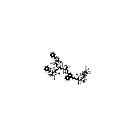 N=C(NCCCCc1ccc(CCC(NCCCN(CC(O)C(O)[C@@H]2OC(c3ccccc3)OC[C@H]2O)CC(O)C(O)[C@@H]2OC(c3ccccc3)OC[C@H]2O)C(N)=O)c2ccccc12)NC(=O)c1nc(Cl)c(N)nc1N